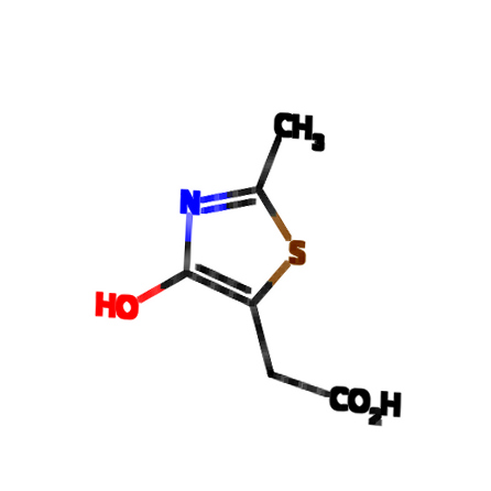 Cc1nc(O)c(CC(=O)O)s1